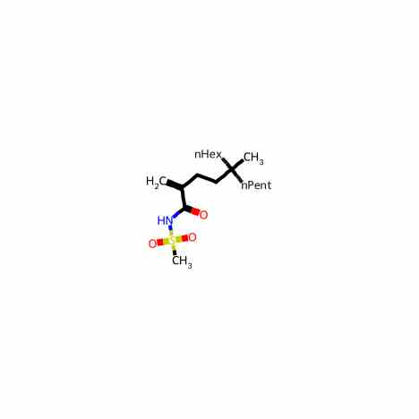 C=C(CCC(C)(CCCCC)CCCCCC)C(=O)NS(C)(=O)=O